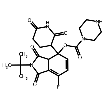 CC(C)(C)N1C(=O)C2=C(F)C=CC(OC(=O)N3CCNCC3)(C3CCC(=O)NC3=O)C2C1=O